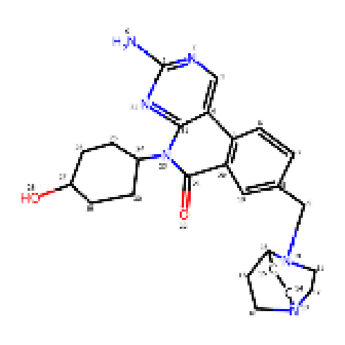 Nc1ncc2c3ccc(CN4CCN5CCC4CC5)cc3c(=O)n(C3CCC(O)CC3)c2n1